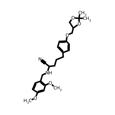 COc1ccc(CNC(C#N)CCCc2ccc(OCC3COC(C)(C)O3)cc2)c(OC)c1